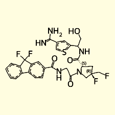 N=C(N)c1csc(C(CO)NC(=O)[C@@H]2C[C@](F)(CF)CN2C(=O)CNC(=O)c2ccc3c(c2)C(F)(F)c2ccccc2-3)c1